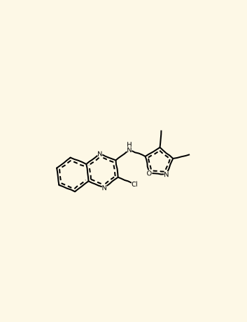 Cc1noc(Nc2nc3ccccc3nc2Cl)c1C